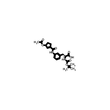 CC(=O)OC1C=C(C(=O)Nc2cccc(C[C@H](NC(=O)OC(C)(C)C)C(=O)O)c2)CC1